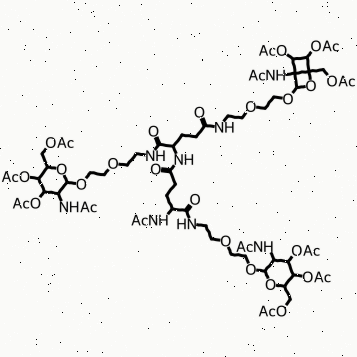 CC(=O)NC(CCC(=O)NC(CCC(=O)NCCOCCOC1OC2(COC(C)=O)C(OC(C)=O)C(OC(C)=O)C12NC(C)=O)C(=O)NCCOCCOC1OC(COC(C)=O)C(OC(C)=O)C(OC(C)=O)C1NC(C)=O)C(=O)NCCOCCOC1OC(COC(C)=O)C(OC(C)=O)C(OC(C)=O)C1NC(C)=O